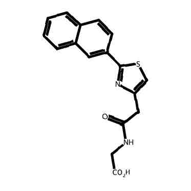 O=C(O)CNC(=O)Cc1csc(-c2ccc3ccccc3c2)n1